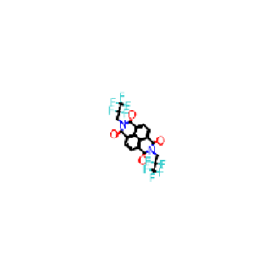 O=C1c2ccc3c4c(ccc(c24)C(=O)N1CC(F)(F)C(F)(F)F)C(=O)N(CC(F)(F)C(F)(F)F)C3=O